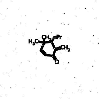 C=C1C(=O)C=CC(C)(C)C1CCC